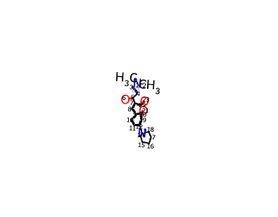 CN(C)/C=C/C(=O)c1cc2ccc(N3CCCCC3)cc2oc1=O